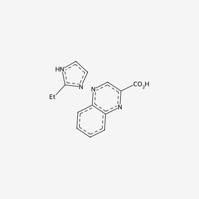 CCc1ncc[nH]1.O=C(O)c1cnc2ccccc2n1